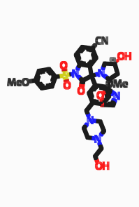 COc1ccc(S(=O)(=O)N2C(=O)C(c3cc(CN4CCN(CCO)CC4)ccc3OC)(N3C[C@H](O)C[C@H]3c3ncco3)c3cc(C#N)ccc32)cc1